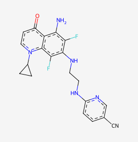 N#Cc1ccc(NCCNc2c(F)c(N)c3c(=O)ccn(C4CC4)c3c2F)nc1